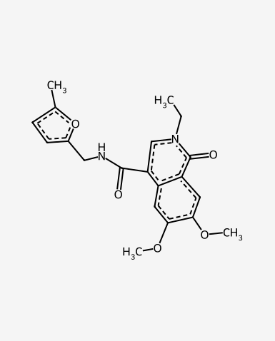 CCn1cc(C(=O)NCc2ccc(C)o2)c2cc(OC)c(OC)cc2c1=O